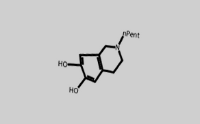 CCCCCN1CCc2cc(O)c(O)cc2C1